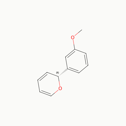 COc1cccc([C@H]2C=CC=CO2)c1